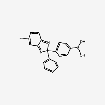 Cc1ccc2c(c1)=NC(c1ccccc1)(c1ccc(B(O)O)cc1)N=2